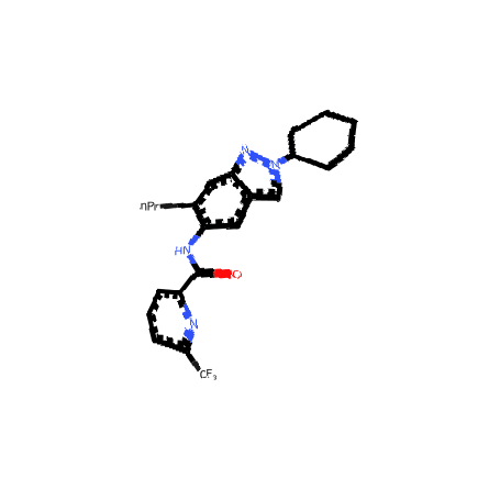 CCCc1cc2nn(C3CCCCC3)cc2cc1NC(=O)c1cccc(C(F)(F)F)n1